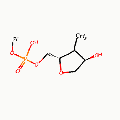 CC(C)OP(=O)(O)OC[C@H]1OC[C@H](O)C1C